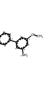 COc1cc(N)cc(-c2ccccc2)c1